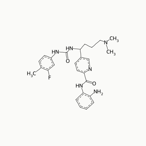 Cc1ccc(NC(=O)NC(CCCN(C)C)c2ccc(C(=O)Nc3ccccc3N)nc2)cc1F